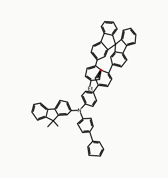 CCc1ccc(-c2ccc3c(c2)C2(c4ccccc4-3)c3ccccc3-c3ccc(-c4ccc(-c5ccc(N(c6ccc(-c7ccccc7)cc6)c6ccc7c(c6)C(C)(C)c6ccccc6-7)cc5)cc4)cc32)cc1